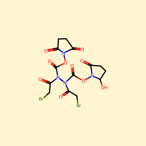 O=C1CCC(=O)N1OC(=O)N(C(=O)CBr)N(C(=O)CBr)C(=O)ON1C(=O)CCC1O